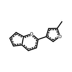 Cc1cc(-c2ccc3cccc-3o2)co1